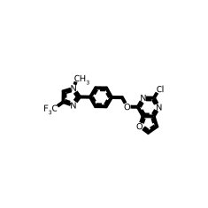 Cn1cc(C(F)(F)F)nc1-c1ccc(COc2nc(Cl)nc3ccoc23)cc1